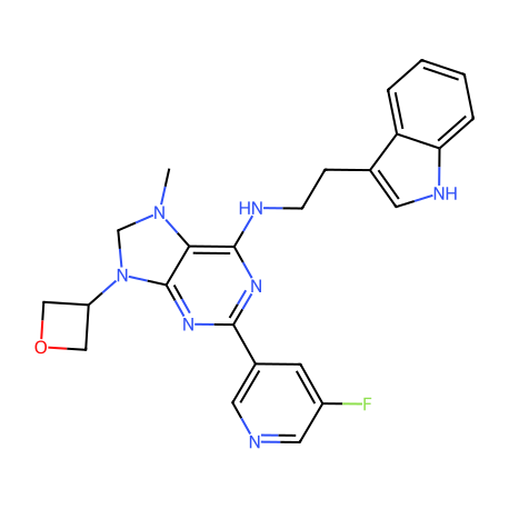 CN1CN(C2COC2)c2nc(-c3cncc(F)c3)nc(NCCc3c[nH]c4ccccc34)c21